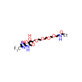 CCC(=O)NCCOCCOCCOCCOC[C@H]1OC[C@H](Nc2cncc(C(F)(F)F)n2)[C@@H](O)[C@H]1O